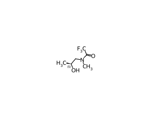 C[C@H](O)CN(C)C(=O)C(F)(F)F